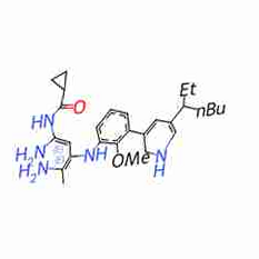 CCCCC(CC)C1=CNCC(c2cccc(NC(/C=C(\N)NC(=O)C3CC3)=C(\C)N)c2OC)=C1